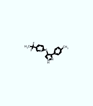 Cc1ccc(-c2n[nH]cc2Sc2ccc(C(C)(F)F)cn2)cc1